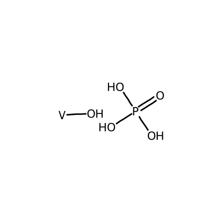 O=P(O)(O)O.[OH][V]